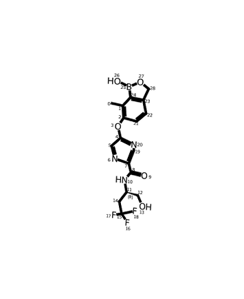 Cc1c(Oc2cnc(C(=O)N[C@@H](CO)CC(F)(F)F)cn2)ccc2c1B(O)OC2